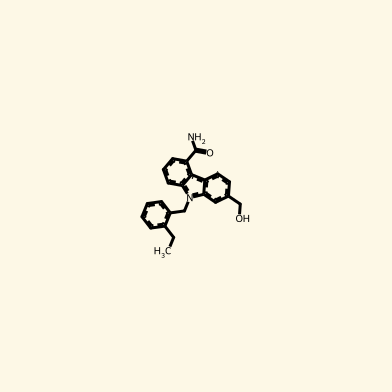 CCc1ccccc1Cn1c2cc(CO)c[c]c2c2c(C(N)=O)cccc21